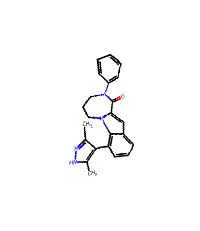 Cc1n[nH]c(C)c1-c1cccc2cc3n(c12)CCCN(c1ccccc1)C3=O